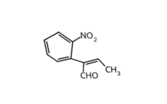 CC=C(C=O)c1ccccc1[N+](=O)[O-]